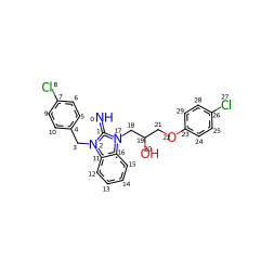 N=c1n(Cc2ccc(Cl)cc2)c2ccccc2n1CC(O)COc1ccc(Cl)cc1